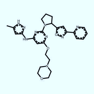 Cc1cc(Nc2cc(OCCN3CCOCC3)nc(N3CCCC3c3cc(-c4ccccn4)no3)n2)n[nH]1